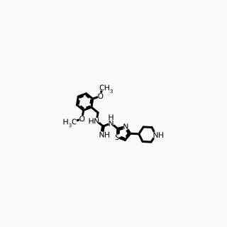 COc1cccc(OC)c1CNC(=N)Nc1nc(C2CCNCC2)cs1